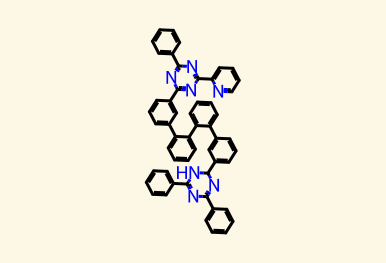 c1ccc(C2=NC(c3cccc(-c4ccccc4-c4ccccc4-c4cccc(-c5nc(-c6ccccc6)nc(-c6ccccn6)n5)c4)c3)NC(c3ccccc3)=N2)cc1